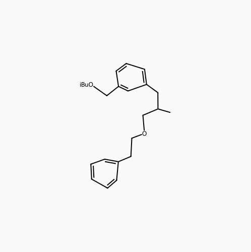 CC(C)COCc1cccc(CC(C)COCCc2ccccc2)c1